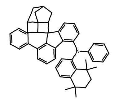 CC1(C)CCC(C)(C)c2c(N(c3ccccc3)c3cccc4c3-c3cccc(-c5ccccc5)c3C43C4CC5CC6CC3C64C5)cccc21